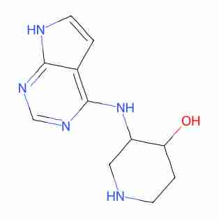 OC1CCNCC1Nc1ncnc2[nH]ccc12